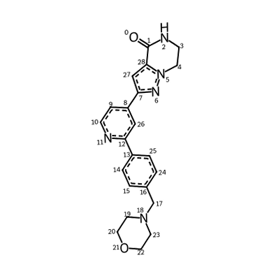 O=C1NCCn2nc(-c3ccnc(-c4ccc(CN5CCOCC5)cc4)c3)cc21